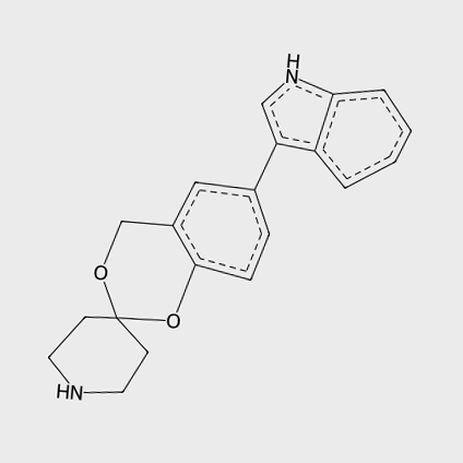 c1ccc2c(-c3ccc4c(c3)COC3(CCNCC3)O4)c[nH]c2c1